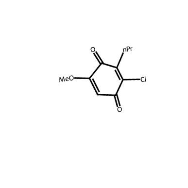 CCCC1=C(Cl)C(=O)C=C(OC)C1=O